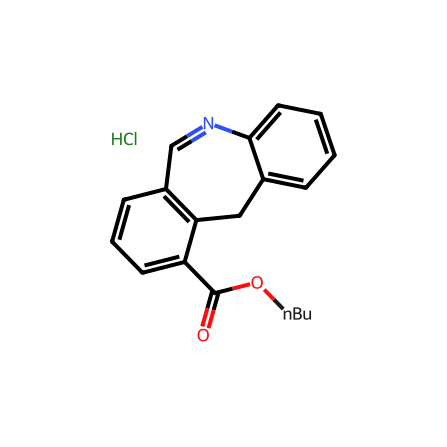 CCCCOC(=O)c1cccc2c1Cc1ccccc1N=C2.Cl